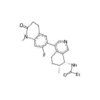 CCC(=O)N[C@H]1c2cncc(-c3cc4c(cc3F)N(C)C(=O)CC4)c2CC[C@H]1C